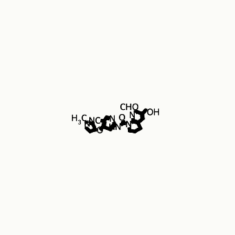 CN1CCC(Oc2cc(NC(=O)N3CCCc4cc(CO)c(C=O)nc43)ncc2C#N)C1